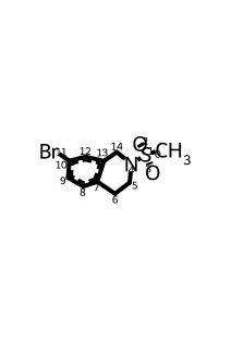 CS(=O)(=O)N1CCc2ccc(Br)cc2C1